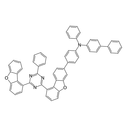 c1ccc(-c2ccc(N(c3ccccc3)c3ccc(-c4ccc5c(c4)oc4cccc(-c6nc(-c7ccccc7)nc(-c7cccc8oc9ccccc9c78)n6)c45)cc3)cc2)cc1